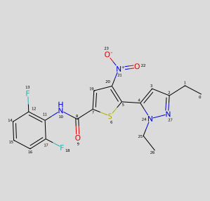 CCc1cc(-c2sc(C(=O)Nc3c(F)cccc3F)cc2[N+](=O)[O-])n(CC)n1